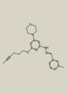 CC#CCCCOc1cc(N2CCOCC2)cc(NN=Cc2cccc(C)c2)n1